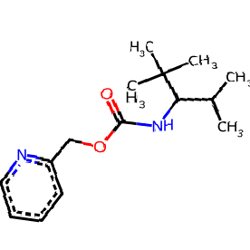 CC(C)C(NC(=O)OCc1ccccn1)C(C)(C)C